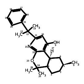 C[C@H]1CCC2[C@H](C1)c1c(O)cc(C(C)(C)c3ccccc3)nc1OC2(C)C